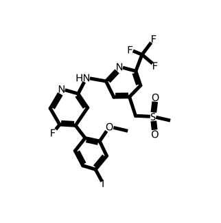 COc1cc(I)ccc1-c1cc(Nc2cc(CS(C)(=O)=O)cc(C(F)(F)F)n2)ncc1F